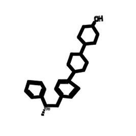 C[C@@H](Cc1ccc(C2CCC(C3CCC(O)CC3)CC2)cc1)c1ccccc1